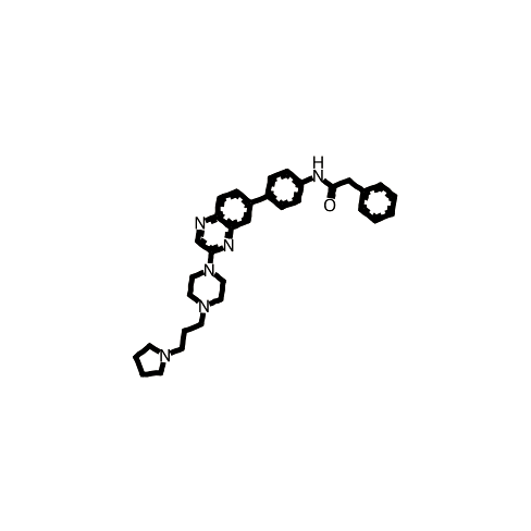 O=C(Cc1ccccc1)Nc1ccc(-c2ccc3ncc(N4CCN(CCCN5CCCC5)CC4)nc3c2)cc1